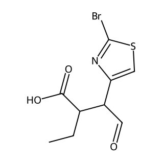 CCC(C(=O)O)C(C=O)c1csc(Br)n1